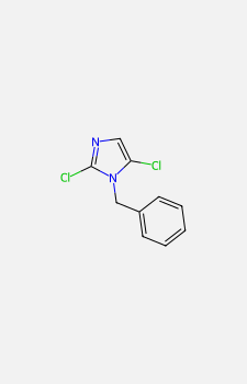 Clc1cnc(Cl)n1Cc1ccccc1